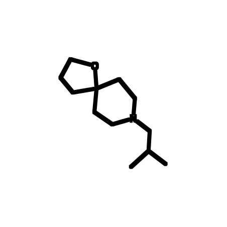 CC(C)CN1CCC2(CCCO2)CC1